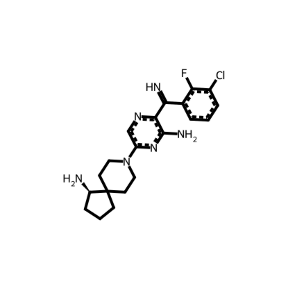 N=C(c1cccc(Cl)c1F)c1ncc(N2CCC3(CCC[C@H]3N)CC2)nc1N